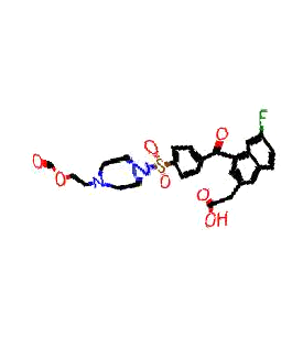 O=COCCN1CCN(S(=O)(=O)c2ccc(C(=O)c3cc(CC(=O)O)cc4ccc(F)cc34)cc2)CC1